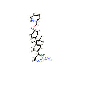 CC(C)C(C)(c1ccc(OCc2ccccn2)cc1)c1ccc(-c2ccnc(N)n2)cc1